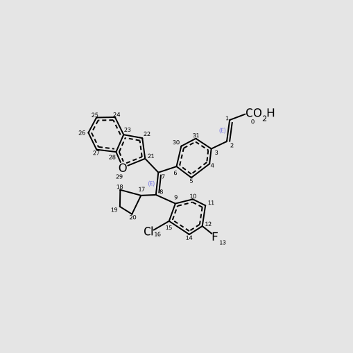 O=C(O)/C=C/c1ccc(/C(=C(\c2ccc(F)cc2Cl)C2CCC2)c2cc3ccccc3o2)cc1